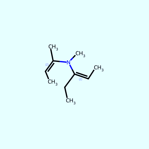 C/C=C(/C)N(C)/C(=C\C)CC